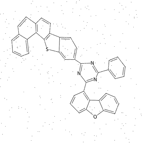 c1ccc(-c2nc(-c3ccc4c(c3)sc3c4ccc4ccc5ccccc5c43)nc(-c3cccc4oc5ccccc5c34)n2)cc1